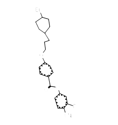 CCC1CCC(CCCOc2ccc(C(=O)Oc3ccc(C#N)c(F)c3)cc2)CC1